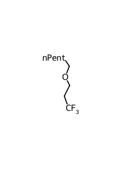 CCCCCCOCCC(F)(F)F